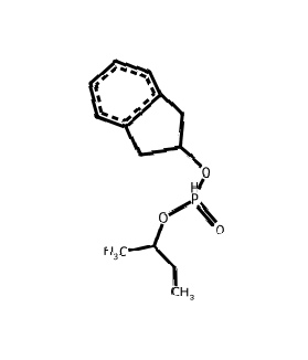 CCC(C)O[PH](=O)OC1Cc2ccccc2C1